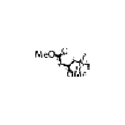 COC(=O)CC(C[N+](C)(C)C)OC